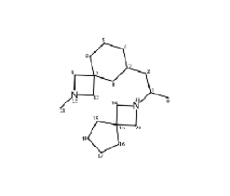 CC(CC1CCCC2(C1)CN(C)C2)N1CC2(CCCC2)C1